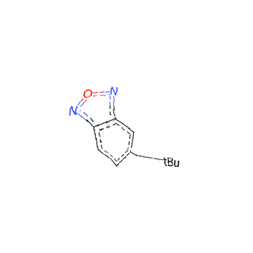 CC(C)(C)c1ccc2nonc2c1